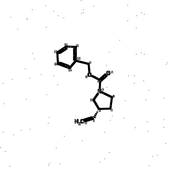 C=C[C@H]1CCN(C(=O)OCc2ccccc2)C1